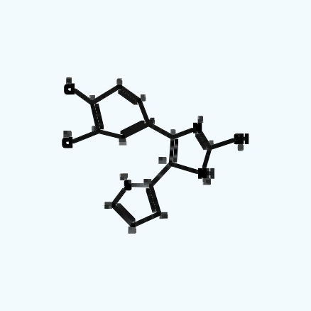 Sc1nc(-c2ccc(Cl)c(Cl)c2)c(-c2cccs2)[nH]1